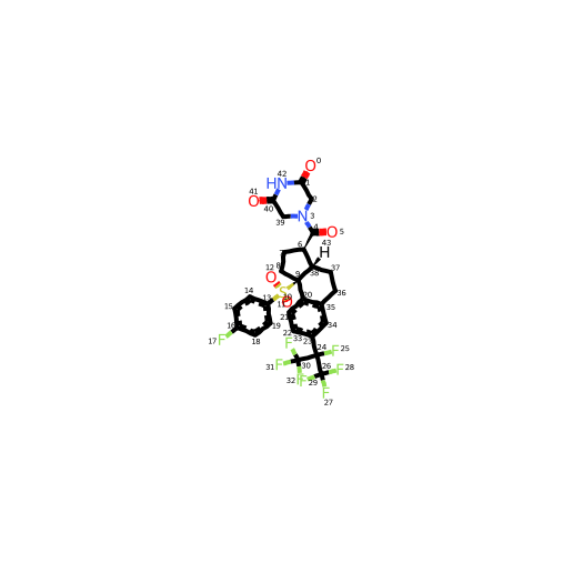 O=C1CN(C(=O)[C@@H]2CC[C@@]3(S(=O)(=O)c4ccc(F)cc4)c4ccc(C(F)(C(F)(F)F)C(F)(F)F)cc4CC[C@@H]23)CC(=O)N1